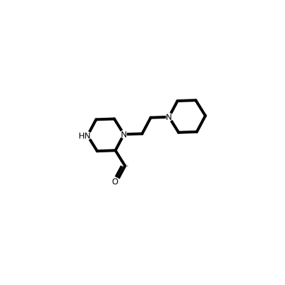 O=[C]C1CNCCN1CCN1CCCCC1